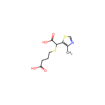 Cc1ncsc1C(SCCCC(=O)O)C(=O)O